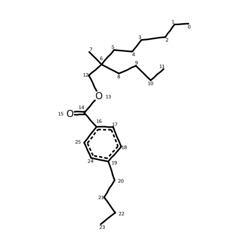 CCCCCCC(C)(CCCC)COC(=O)c1ccc(CCCC)cc1